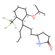 CCCC(CCC1CCC(=O)N1)C1C(OC(C)C)CCCC1C(F)(F)F